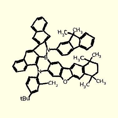 Cc1cc(C(C)(C)C)ccc1N1c2cc3oc4cc5c(cc4c3cc2B2c3c(cc4ccccc4c31)-c1cc3ccccc3cc1N2c1ccc2c(c1)C(C)(C)c1ccccc1-2)C(C)(C)CCC5(C)C